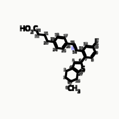 C[C@@H]1CCc2cc(-c3ccc(F)cc3/C=C/c3ccc(CCCC(=O)O)cc3)sc2C1